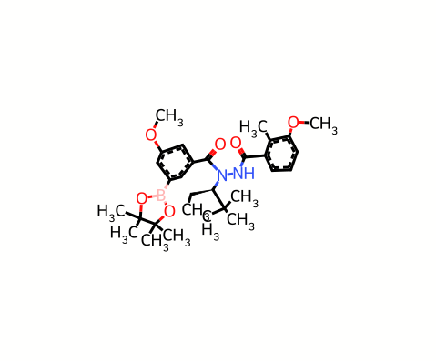 CC[C@@H](N(NC(=O)c1cccc(OC)c1C)C(=O)c1cc(OC)cc(B2OC(C)(C)C(C)(C)O2)c1)C(C)(C)C